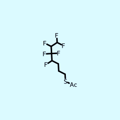 CC(=O)SCCCC(F)C(F)(F)C(F)C(F)F